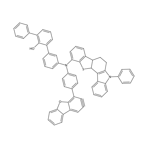 Oc1c(-c2ccccc2)cccc1-c1cccc(N(c2ccc(-c3c#ccc4c3oc3ccccc34)cc2)c2cccc3c2SC2c4c(n(-c5ccccc5)c5ccccc45)CCC32)c1